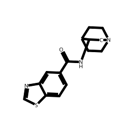 O=C(NC1CN2CCC1CC2)c1ccc2scnc2c1